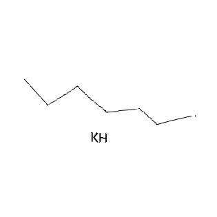 [CH2]CCCCCC.[KH]